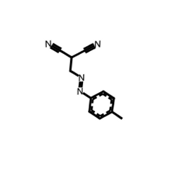 Cc1ccc(N=NCC(C#N)C#N)cc1